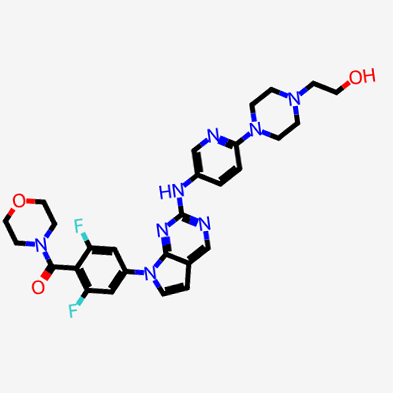 O=C(c1c(F)cc(-n2ccc3cnc(Nc4ccc(N5CCN(CCO)CC5)nc4)nc32)cc1F)N1CCOCC1